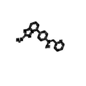 CC(=O)N(Cc1ccccn1)c1ccc(-c2cccc3nc(N)nn23)cc1